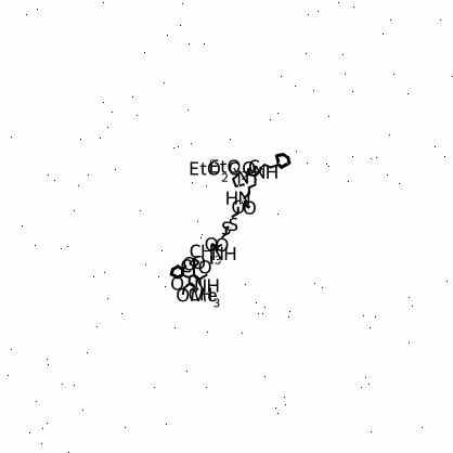 CCOC(=O)C(CCc1ccccc1)NC(CCCNC(=O)OCCSSCCOC(=O)NCCOCC1=C(C2OC(C)O2)C(c2ccccc2Cl)C(C(=O)OC)=C(C)N1)C(=O)N1CCC[C@H]1C(=O)OCC